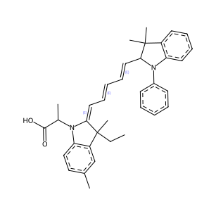 CCC1(C)\C(=C/C=C/C=C/C2N(c3ccccc3)c3ccccc3C2(C)C)N(C(C)C(=O)O)c2ccc(C)cc21